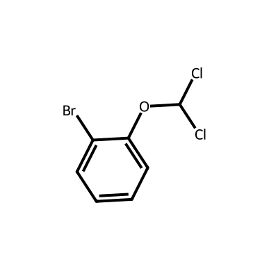 ClC(Cl)Oc1ccccc1Br